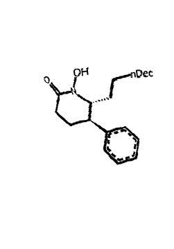 CCCCCCCCCCCC[C@@H]1[C@@H](c2ccccc2)CCC(=O)N1O